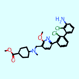 COC(=O)C1CCC(N(C)Cc2ccc(-c3cccc(-c4cccc(N)c4Cl)c3Cl)nc2OC)CC1